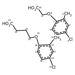 Cc1cc(Cl)ccc1OCC(=O)O.Cc1cc(Cl)ccc1OCCCC(=O)O